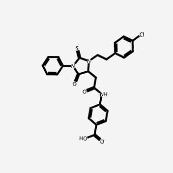 O=C(CC1C(=O)N(c2ccccc2)C(=S)N1CCc1ccc(Cl)cc1)Nc1ccc(C(=O)O)cc1